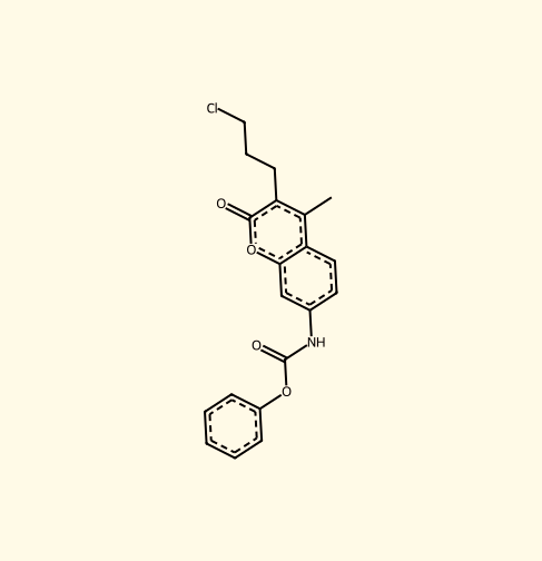 Cc1c(CCCCl)c(=O)oc2cc(NC(=O)Oc3ccccc3)ccc12